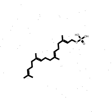 CC(C)=CCCC(C)=CCCC(C)=CCCC(C)=CCOP(=O)(O)O